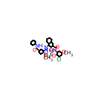 COc1cc(Cl)c(OC)c(NC(=O)c2cc3ccccc3c(/N=N/c3cc(C(=O)Nc4ccccc4)ccc3OC)c2O)c1